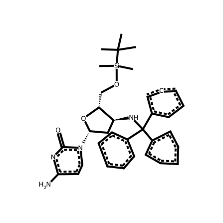 CC(C)(C)[Si](C)(C)OC[C@H]1O[C@@H](n2ccc(N)nc2=O)C[C@@H]1NC(c1ccccc1)(c1ccccc1)c1ccccc1